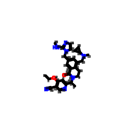 CCOc1cc([C@H](C)N2CCc3c(CN(C)C4CC4)cc(Cn4ccnc4NC)cc3C2=O)ncc1C#N